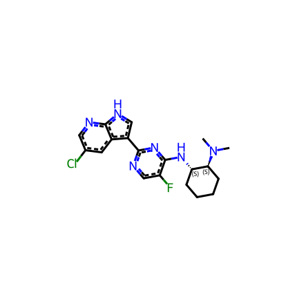 CN(C)[C@H]1CCCC[C@@H]1Nc1nc(-c2c[nH]c3ncc(Cl)cc23)ncc1F